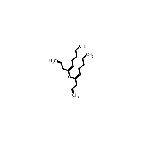 C=CCC(=CCCCC)OC(=CCCCC)CC=C